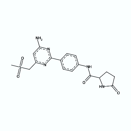 CS(=O)(=O)Cc1cc(N)nc(-c2ccc(NC(=O)C3CCC(=O)N3)cc2)n1